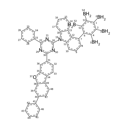 Bc1c(B)c(B)c(-c2cccc3c2c2ccccc2n3-c2nc(-c3ccccc3)nc(-c3ccc4c(c3)oc3cc(-c5ccccc5)ccc34)n2)c(B)c1B